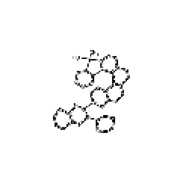 CC1(C)c2ccccc2-c2c1ccc1ccc3ccc4cc(-c5nc6ccccc6nc5-c5ccccc5)ccc4c3c21